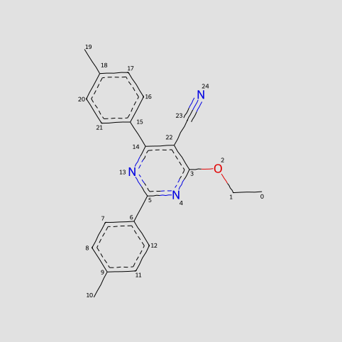 CCOc1nc(-c2ccc(C)cc2)nc(-c2ccc(C)cc2)c1C#N